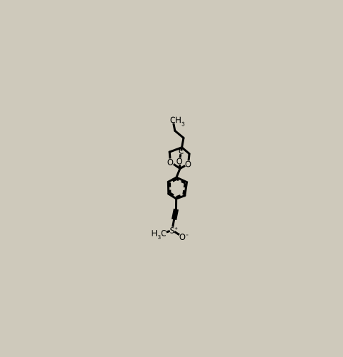 CCCC12COC(c3ccc(C#C[S+](C)[O-])cc3)(OC1)OC2